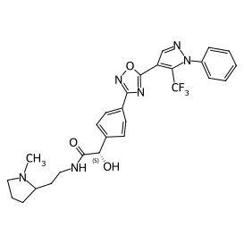 CN1CCCC1CCNC(=O)[C@@H](O)c1ccc(-c2noc(-c3cnn(-c4ccccc4)c3C(F)(F)F)n2)cc1